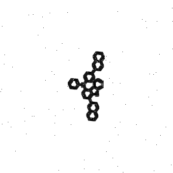 c1ccc(N(c2ccc(-c3ccc4ccccc4c3)cc2)c2ccc(-c3ccc4ccccc4c3)c3sc4ccccc4c23)cc1